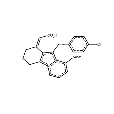 CSc1cccn2c3c(c(Cc4ccc(Cl)cc4)c12)/C(=C\C(=O)O)CCC3